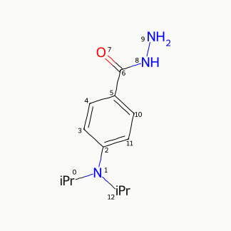 CC(C)N(c1ccc(C(=O)NN)cc1)C(C)C